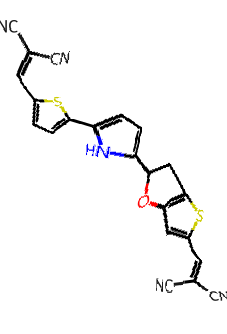 N#CC(C#N)=Cc1ccc(-c2ccc(C3Cc4sc(C=C(C#N)C#N)cc4O3)[nH]2)s1